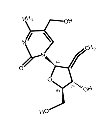 C=C=C1[C@H](n2cc(CO)c(N)nc2=O)O[C@H](CO)[C@H]1O